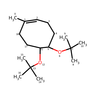 CC1=CCCC(OC(C)(C)C)C(OC(C)(C)C)CC1